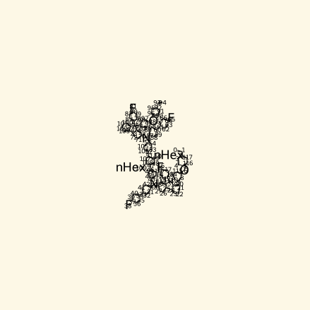 C=Cc1ccc(Oc2ccc(C3(c4ccc(F)cc4)c4ccccc4-c4ccc(N(c5ccc(-c6ccc(F)cc6)cc5)c5ccc(-c6cc(CCCCCC)c(-c7ccc(N(c8ccc(-c9ccc(F)cc9)cc8)c8ccc9c(c8)C(c8ccc(F)cc8)(c8ccc(Oc%10ccc(C=C)cc%10)cc8)c8ccccc8-9)cc7)cc6CCCCCC)cc5)cc43)cc2)cc1